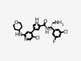 NC[C@@H](NC(=O)c1cc(-c2cc(NC3CCOCC3)ncc2Cl)c[nH]1)c1cc(F)cc(Cl)c1